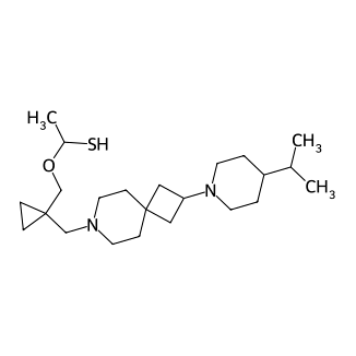 CC(S)OCC1(CN2CCC3(CC2)CC(N2CCC(C(C)C)CC2)C3)CC1